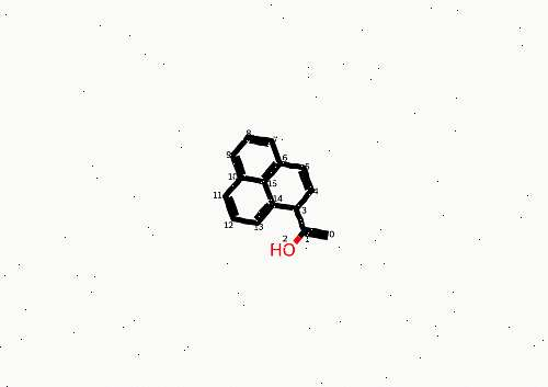 C=C(O)C1C=Cc2cccc3cccc1c23